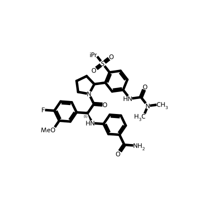 COc1cc([C@H](Nc2cccc(C(N)=O)c2)C(=O)N2CCCC2c2cc(NC(=O)N(C)C)ccc2S(=O)(=O)C(C)C)ccc1F